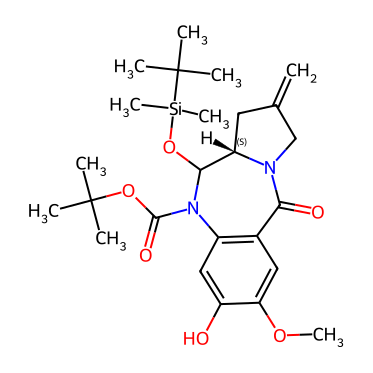 C=C1C[C@H]2C(O[Si](C)(C)C(C)(C)C)N(C(=O)OC(C)(C)C)c3cc(O)c(OC)cc3C(=O)N2C1